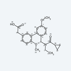 CCN(Cc1ccc(OC)cc1-c1cc(CC(=O)O)ccc1OC)C(=O)C1CC1